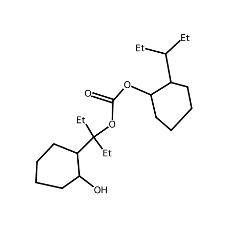 CCC(CC)C1CCCCC1OC(=O)OC(CC)(CC)C1CCCCC1O